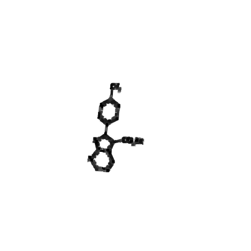 CCOC(=O)c1c(-c2ccc(C)cc2)nc2ncccn12